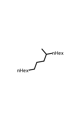 [CH2]CCCCCC(C)CCCCCCCCC